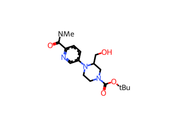 CNC(=O)c1ccc(N2CCN(C(=O)OC(C)(C)C)CC2CO)cn1